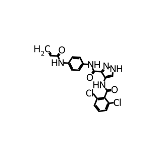 C=CC(=O)Nc1ccc(NC(=O)c2n[nH]cc2NC(=O)c2c(Cl)cccc2Cl)cc1